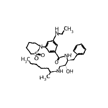 CCCCCC(C)NC[C@@H](O)[C@H](Cc1ccccc1)NC(=O)c1cc(NCC)cc(N2CCCCS2(=O)=O)c1